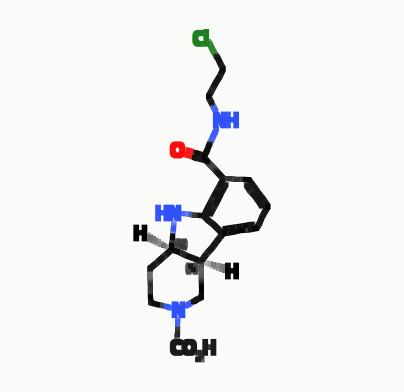 O=C(NCCCl)c1cccc2c1N[C@@H]1CCN(C(=O)O)C[C@H]21